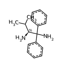 CC(C)[C@H](N)C(N)(c1ccccc1)c1ccccc1